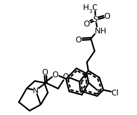 CS(=O)(=O)NC(=O)CCc1cc(Cl)ccc1OCC(=O)N1C2CCC1CC(Oc1ccc(F)cc1)C2